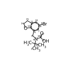 CC(C)(C)N(Cc1cc(Br)cc2c1OCC2)C(=O)O